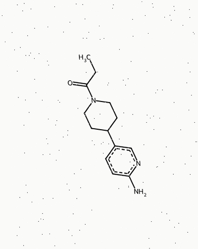 CCC(=O)N1CCC(c2ccc(N)nc2)CC1